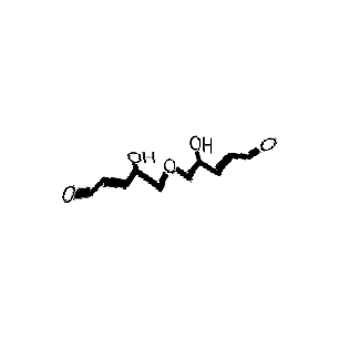 O=CC=CC(O)COCC(O)C=CC=O